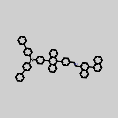 C(=C\c1ccc(-c2cccc3ccccc23)c2ccccc12)/c1ccc(-c2c3ccccc3c(-c3ccc(N(c4ccc(-c5ccccc5)cc4)c4ccc(-c5ccccc5)cc4)cc3)c3ccccc23)cc1